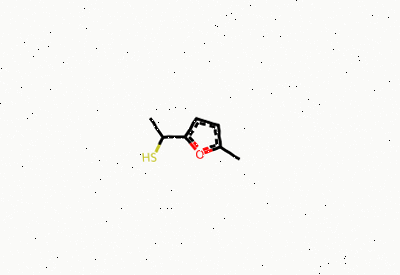 Cc1ccc(C(C)S)o1